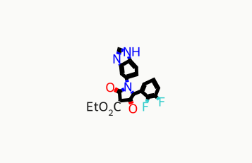 CCOC(=O)C1C(=O)C(c2cccc(F)c2F)N(c2ccc3[nH]cnc3c2)C1=O